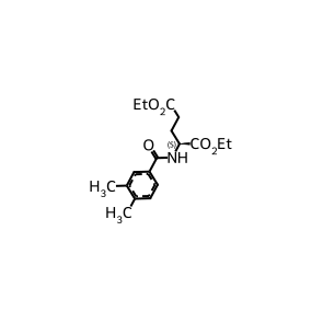 CCOC(=O)CC[C@H](NC(=O)c1ccc(C)c(C)c1)C(=O)OCC